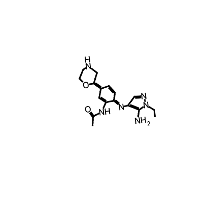 CCn1ncc(N=C2C=CC(=C3CNCCO3)C=C2NC(C)=O)c1N